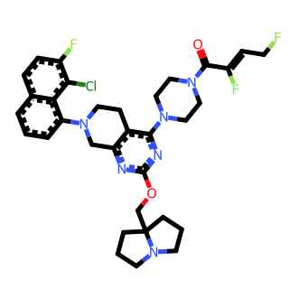 O=C(/C(F)=C/CF)N1CCN(c2nc(OCC34CCCN3CCC4)nc3c2CCN(c2cccc4ccc(F)c(Cl)c24)C3)CC1